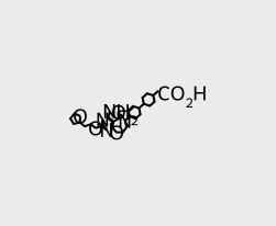 Nc1nc(OCCC2CCCO2)nc2c1C(=O)N(C1=CCC(C3CCC(CC(=O)O)CC3)C=C1)CCO2